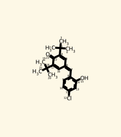 CC(C)(C)C1=CC(=Cc2ccc(Cl)cc2O)C=C(C(C)(C)C)C1=O